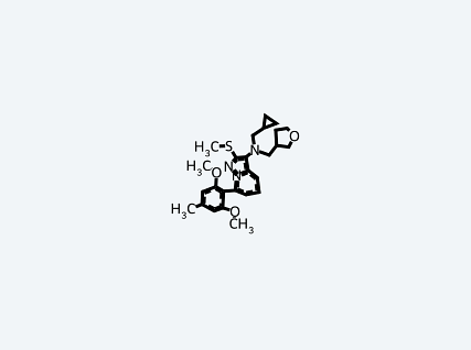 COc1cc(C)cc(OC)c1-c1cccc2c(N(CC3CC3)CC3CCOC3)c(SC)nn12